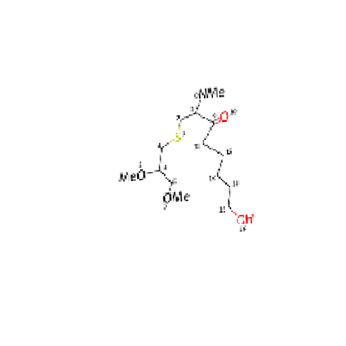 CNC(CSCC(COC)OC)C(=O)CCCCCO